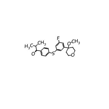 COC1(c2cc(F)cc(Sc3ccc(C(=O)C(C)C)cc3)c2)CCOCC1